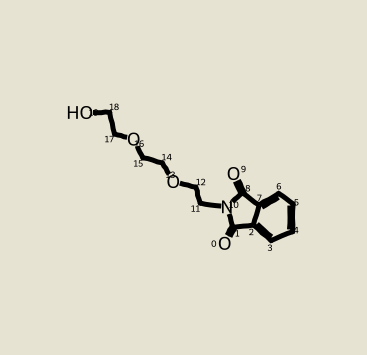 O=C1c2ccccc2C(=O)N1CCOCCOCCO